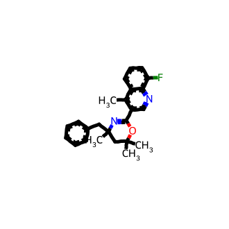 Cc1c(C2=NC(C)(Cc3ccccc3)CC(C)(C)O2)cnc2c(F)cccc12